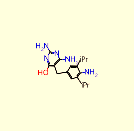 CC(C)c1cc(Cc2c(N)nc(N)nc2O)cc(C(C)C)c1N